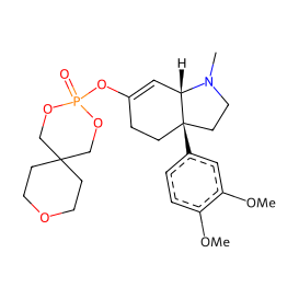 COc1ccc([C@@]23CCC(OP4(=O)OCC5(CCOCC5)CO4)=C[C@@H]2N(C)CC3)cc1OC